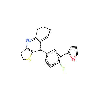 Fc1ccc(C2C3=CCCCC3=NC3=C2SCC3)cc1-c1ccco1